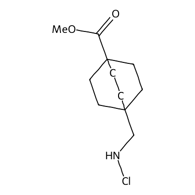 COC(=O)C12CCC(CNCl)(CC1)CC2